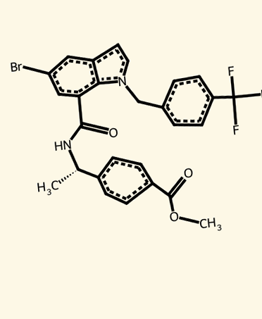 COC(=O)c1ccc([C@H](C)NC(=O)c2cc(Br)cc3ccn(Cc4ccc(C(F)(F)F)cc4)c23)cc1